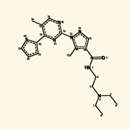 CCN(CC)CCNC(=O)c1cnn(-c2ncc(C)c(-c3cccs3)n2)c1C